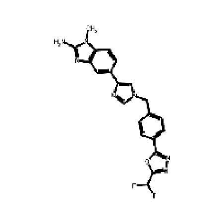 Cn1c(N)nc2cc(-c3cn(Cc4ccc(-c5nnc(C(F)F)o5)cc4)cn3)ccc21